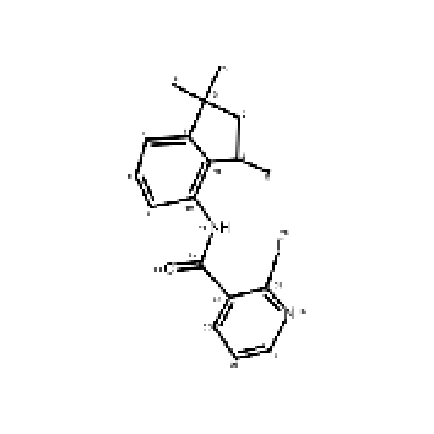 CC1CC(C)(C)c2cccc(NC(=O)c3cccnc3F)c21